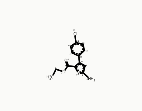 CCOC(=O)c1sc(N)cc1-c1ccc(Cl)cc1